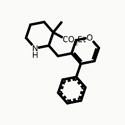 CCOC(=O)C1(C)CCCNC1CC1=C(c2ccccc2)C=COC1